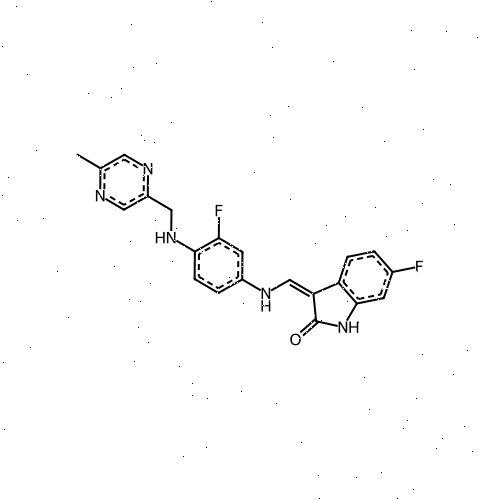 Cc1cnc(CNc2ccc(NC=C3C(=O)Nc4cc(F)ccc43)cc2F)cn1